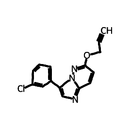 C#CCOc1ccc2ncc(-c3cccc(Cl)c3)n2n1